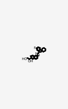 OCC(O)c1ccc2c(ccc3oc(CCC4(c5ccc(F)cc5)CCCCC4)nc32)c1